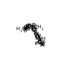 C[C@@H]1C[C@@H](N2Cc3cnc(Nc4cc(F)cc(C(F)(F)F)c4)nc3C2)CCN1C(=O)c1ccnc(NS(C)(=O)=O)c1